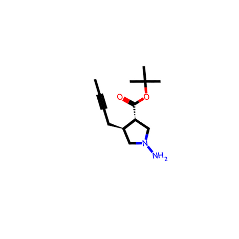 CC#CC[C@@H]1CN(N)C[C@H]1C(=O)OC(C)(C)C